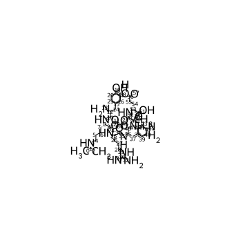 CC(C)NCCCC[C@H](NC(=O)[C@@H](N)Cc1ccc(O)cc1)C(=O)N[C@H](CCCNC(=N)N)C(=O)N[C@@H](Cc1ccc(N)cc1)C(=O)N[C@H](C)C(=O)N[C@H](CCC(=O)O)C(=O)O